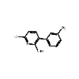 Nc1ccc(-c2cccc(C(F)(F)F)c2)c(C=O)n1